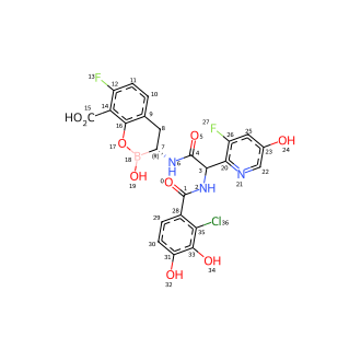 O=C(NC(C(=O)N[C@H]1Cc2ccc(F)c(C(=O)O)c2OB1O)c1ncc(O)cc1F)c1ccc(O)c(O)c1Cl